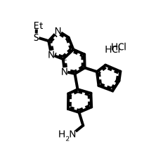 CCSc1ncc2cc(-c3ccccc3)c(-c3ccc(CN)cc3)nc2n1.Cl.Cl